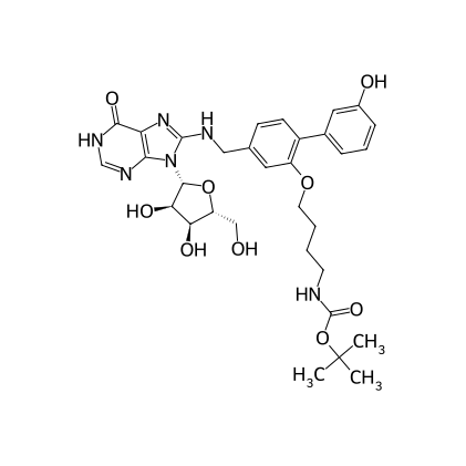 CC(C)(C)OC(=O)NCCCCOc1cc(CNc2nc3c(=O)[nH]cnc3n2[C@@H]2O[C@H](CO)[C@@H](O)[C@H]2O)ccc1-c1cccc(O)c1